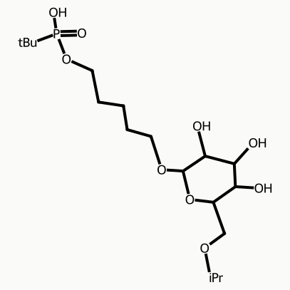 CC(C)OCC1OC(OCCCCCOP(=O)(O)C(C)(C)C)C(O)C(O)C1O